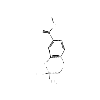 COC(=O)c1ccc2c(c1)NC(C)(C)CO2